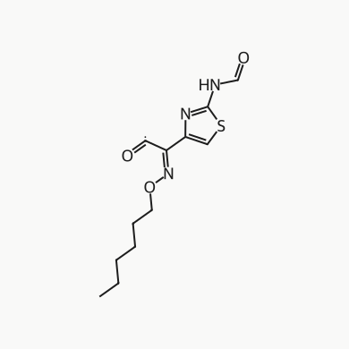 CCCCCCON=C([C]=O)c1csc(NC=O)n1